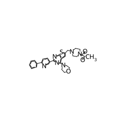 CS(=O)(=O)N1CCN(Cc2cc3c(N4CCOCC4)nc(-c4ccc(-c5ccccc5)nc4)nc3s2)CC1